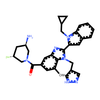 COc1cc(C(=O)N2C[C@H](N)C[C@@H](F)C2)cc2nc(-c3cc4ccccc4n3CC3CC3)n(Cc3cn[nH]c3)c12